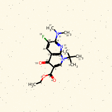 CCOC(=O)c1cn(C(C)(C)C)c2nc(N(C)C)c(F)cc2c1=O